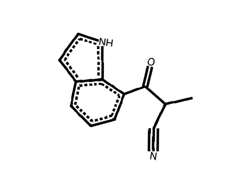 CC(C#N)C(=O)c1cccc2cc[nH]c12